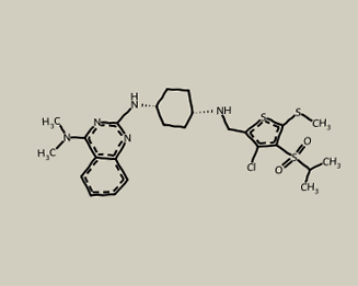 CSc1sc(CN[C@H]2CC[C@@H](Nc3nc(N(C)C)c4ccccc4n3)CC2)c(Cl)c1S(=O)(=O)C(C)C